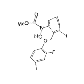 COC(=O)N(O)c1cccc(I)c1COc1ccc(C)cc1F